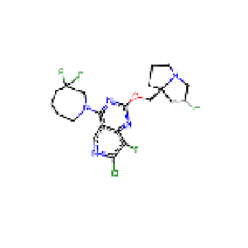 Fc1c(Cl)ncc2c(N3CCCCC(F)(F)C3)nc(OC[C@@]34CCCN3C[C@H](F)C4)nc12